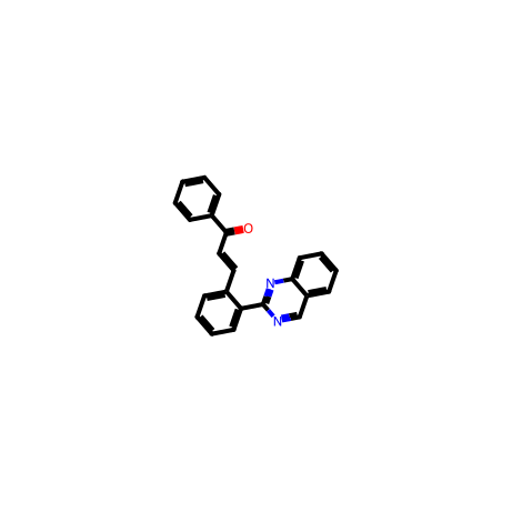 O=C(C=Cc1ccccc1-c1ncc2ccccc2n1)c1ccccc1